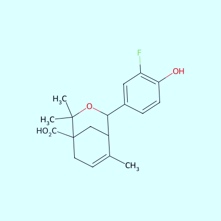 CC1=CCC2(C(=O)O)CC1C(c1ccc(O)c(F)c1)OC2(C)C